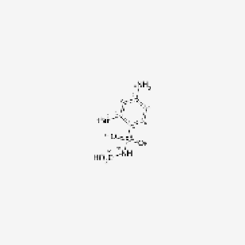 CC(C)(C)c1cc(N)ccc1S(=O)(=O)NC(=O)O